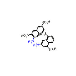 Nc1cc(S(=O)(=O)O)c2cccc(S(=O)(=O)O)c2c1.Nc1cc2ccc(S(=O)(=O)O)cc2cc1S(=O)(=O)O